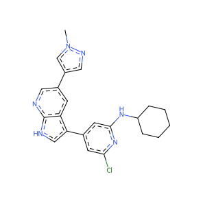 Cn1cc(-c2cnc3[nH]cc(-c4cc(Cl)nc(NC5CCCCC5)c4)c3c2)cn1